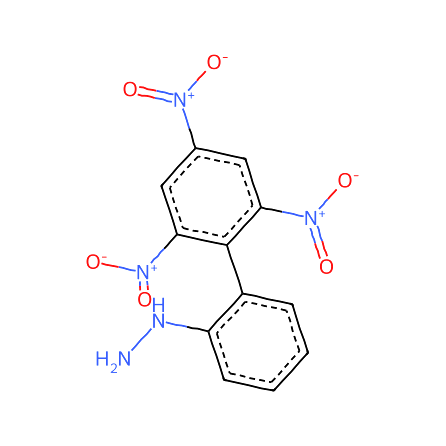 NNc1ccccc1-c1c([N+](=O)[O-])cc([N+](=O)[O-])cc1[N+](=O)[O-]